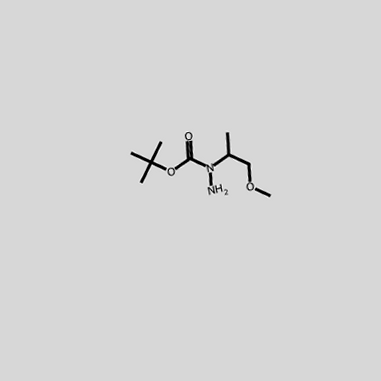 COCC(C)N(N)C(=O)OC(C)(C)C